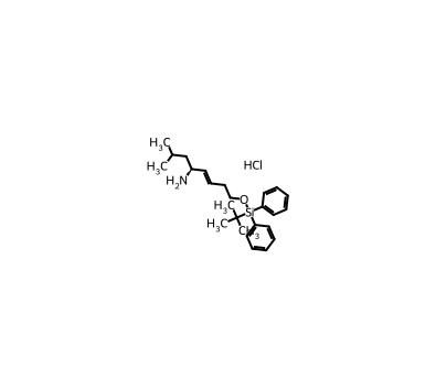 CC(C)C[C@H](N)/C=C/CCO[Si](c1ccccc1)(c1ccccc1)C(C)(C)C.Cl